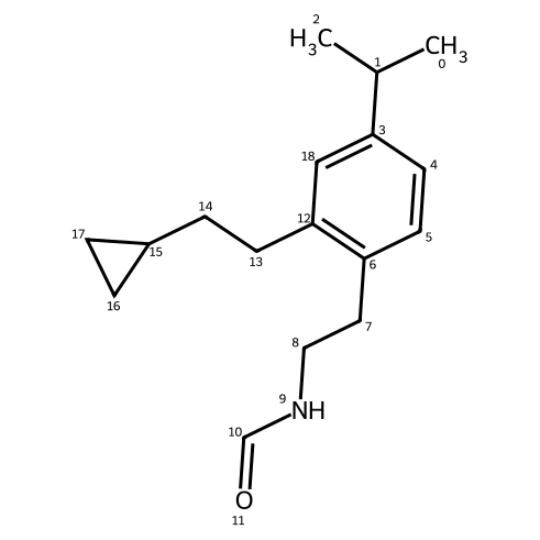 CC(C)c1ccc(CCNC=O)c(CCC2CC2)c1